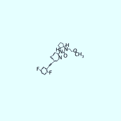 COCCN1C(=O)N(C2=N/C=C(C#Cc3cc(F)ccc3F)\C=C\C=C\2)[C@@H]2CCC[C@@H]21